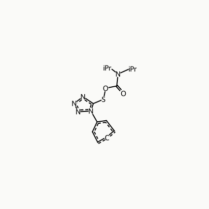 CC(C)N(C(=O)OSc1nnnn1-c1ccccc1)C(C)C